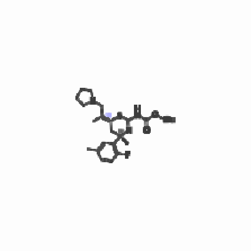 C/C(CN1CCCC1)=C1\C[C@@](C)(c2cc(C)ccc2F)N=C(NC(=O)OC(C)(C)C)S1